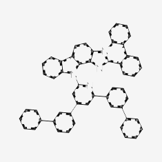 c1ccc(-c2cccc(-c3cc(-c4cccc(-c5ccccc5)c4)nc(-n4c5ccccc5c5ccc6c(nc7c8ccccc8c8ccccc8n67)c54)c3)c2)cc1